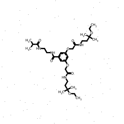 CCOC(C)(C)CCNC(=O)COc1cc(OCC(=O)NCCC(C)(C)OCC)cc(C(=O)NCCNC(=O)C(C)C)c1